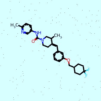 Cc1ccc(NC(=O)N2CCC(=Cc3cccc(OCC4CCC(F)(F)CC4)c3)C(C)C2)cn1